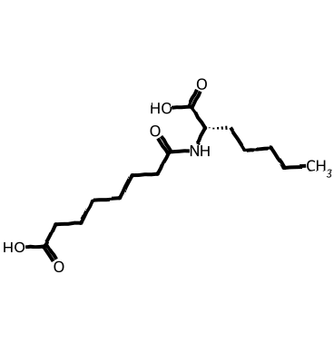 CCCCC[C@H](NC(=O)CCCCCCC(=O)O)C(=O)O